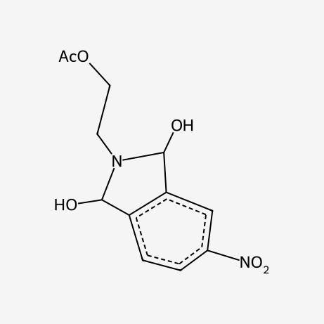 CC(=O)OCCN1C(O)c2ccc([N+](=O)[O-])cc2C1O